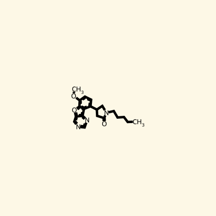 CCCCCN1CC(c2ccc(OC)c3oc4cncnc4c23)CC1=O